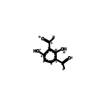 CC(=O)c1ccc(O)c(C(C)=O)c1O